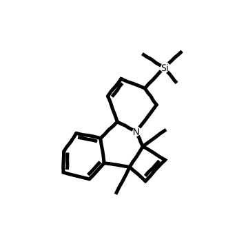 CC12C=CC1(C)N1CC([Si](C)(C)C)C=CC1c1ccccc12